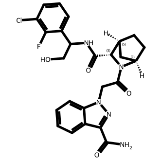 NC(=O)c1nn(CC(=O)N2[C@@H]3CC[C@@H](C3)[C@H]2C(=O)NC(CO)c2cccc(Cl)c2F)c2ccccc12